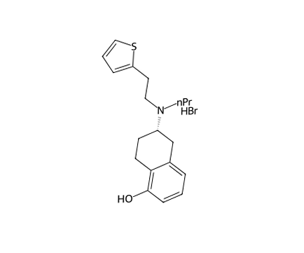 Br.CCCN(CCc1cccs1)[C@H]1CCc2c(O)cccc2C1